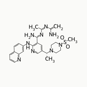 C=C(N)/N=C(C)\N=C(/N)c1cc([C@@H](C)N2CCN(S(C)(=O)=O)CC2)cnc1Nc1ccc2cccnc2c1